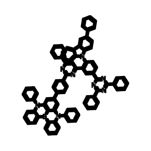 c1ccc(-c2ccc3c(c2)c2ccccc2n3-c2ccc(-c3nc(-c4ccccc4)nc(-c4ccccc4)n3)cc2-c2cc(-c3ccccc3)nc(-c3ccc(-c4cc5c6c(c4)N(c4ccccc4)c4ccccc4B6c4ccccc4N5c4ccccc4)cc3)n2)cc1